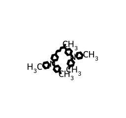 CC(=CC=Cc1ccc(N(c2ccc(C)cc2)c2ccc(C)cc2)cc1)c1ccc(N(c2ccc(C)cc2)c2ccc(C)cc2)cc1